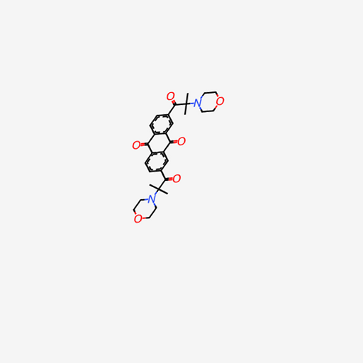 CC(C)(C(=O)c1ccc2c(c1)C(=O)c1cc(C(=O)C(C)(C)N3CCOCC3)ccc1C2=O)N1CCOCC1